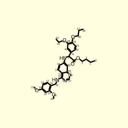 CCCCOC(=O)C(Nc1ccc2c(NCc3ccc(OC)cc3OC)ncnc2c1)c1ccc(OCCC)c(OCC)c1